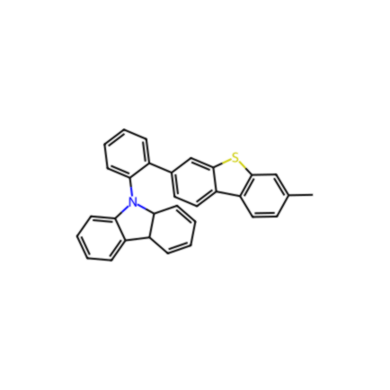 Cc1ccc2c(c1)sc1cc(-c3ccccc3N3c4ccccc4C4C=CC=CC43)ccc12